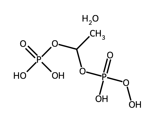 CC(OP(=O)(O)O)OP(=O)(O)OO.O